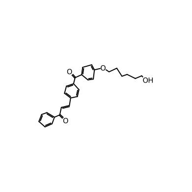 O=C(C=Cc1ccc(C(=O)c2ccc(OCCCCCCO)cc2)cc1)c1ccccc1